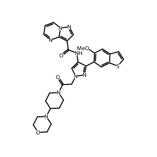 COc1cc2ccsc2cc1-c1nn(CC(=O)N2CCC(N3CCOCC3)CC2)cc1NC(=O)c1cnn2cccnc12